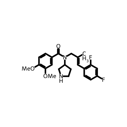 COc1ccc(C(=O)N(CC(C)=Cc2ccc(F)cc2F)C2CCNC2)cc1OC